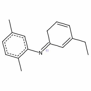 CCC1=C/C(=N/c2cc(C)ccc2C)CC=C1